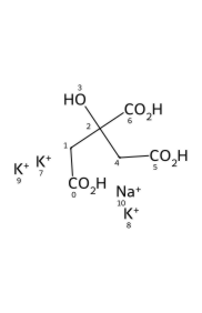 O=C(O)CC(O)(CC(=O)O)C(=O)O.[K+].[K+].[K+].[Na+]